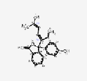 C=C/C(=C\C=C(/C)O)C1(c2ccc(O)cc2)OC(=O)c2ccccc21